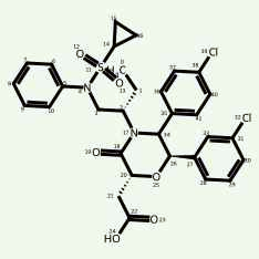 CC[C@@H](CN(c1ccccc1)S(=O)(=O)C1CC1)N1C(=O)[C@@H](CC(=O)O)O[C@H](c2cccc(Cl)c2)C1c1ccc(Cl)cc1